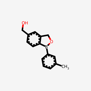 Cc1cccc(B2OCc3cc(CO)ccc32)c1